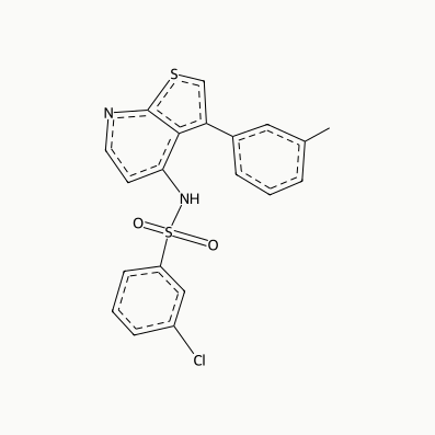 Cc1cccc(-c2csc3nccc(NS(=O)(=O)c4cccc(Cl)c4)c23)c1